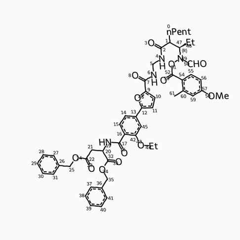 CCCCCC(C(=O)NCNC(=O)c1ccc(-c2ccc(C(=O)NC(CC(=O)OCc3ccccc3)C(=O)OCc3ccccc3)c(OCC)c2)o1)[C@@H](CC)N(C=O)OC(=O)c1ccc(OC)cc1C